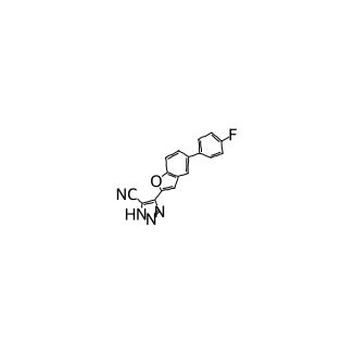 N#Cc1[nH]nnc1-c1cc2cc(-c3ccc(F)cc3)ccc2o1